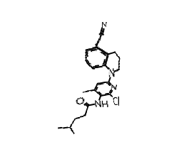 Cc1cc(N2CCCc3c(C#N)cccc32)nc(Cl)c1NC(=O)CCC(C)C